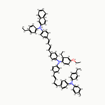 CCOc1ccc(N(c2ccc(/C=C/C=C\c3ccc(N(c4ccc(C)cc4)c4ccc(CC)cc4)cc3)cc2)c2ccc(/C=C/C=C/c3ccc(N(c4ccc(CC)cc4)c4ccc5ccccc5c4)cc3)cc2)c(CC)c1